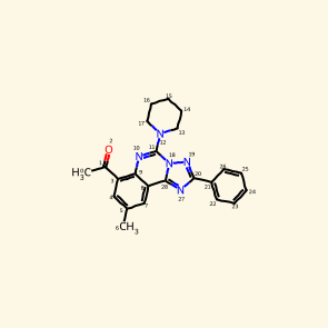 CC(=O)c1cc(C)cc2c1nc(N1CCCCC1)n1nc(-c3ccccc3)nc21